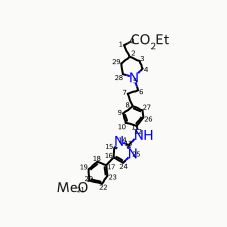 CCOC(=O)CC1CCN(CCc2ccc(Nc3ncc(-c4ccc(OC)cc4)cn3)cc2)CC1